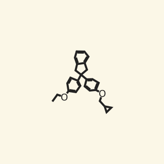 CCOc1ccc(C2(c3ccc(OCC4CC4)cc3)Cc3ccccc3C2)cc1